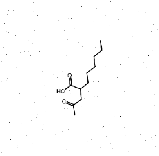 CCCCCCC(CC(C)=O)C(=O)O